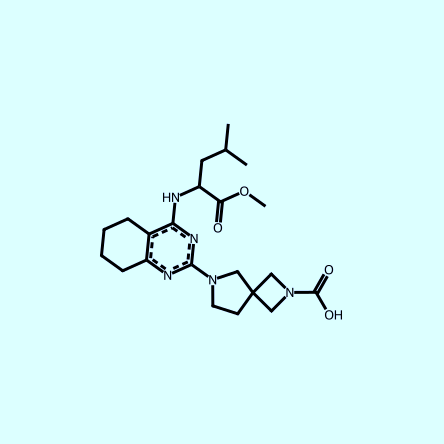 COC(=O)C(CC(C)C)Nc1nc(N2CCC3(CN(C(=O)O)C3)C2)nc2c1CCCC2